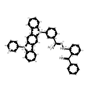 N=C(c1ccccc1)c1ccccc1N/N=C(\N)c1cccc(-n2c3ccccc3c3cc4c(cc32)c2ccccc2n4-c2cccnc2)c1